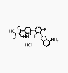 Cl.NC1C=CCC2CN(c3c(F)ccc(-c4ccc5c(=O)c(C(=O)O)c[nH]c5n4)c3F)CC12